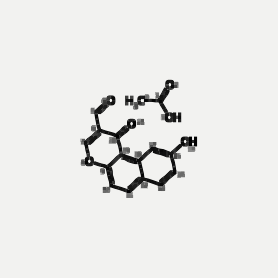 CC(=O)O.O=Cc1coc2ccc3ccc(O)cc3c2c1=O